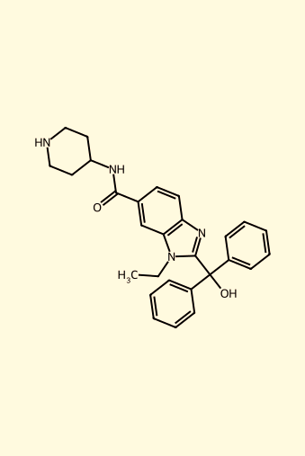 CCn1c(C(O)(c2ccccc2)c2ccccc2)nc2ccc(C(=O)NC3CCNCC3)cc21